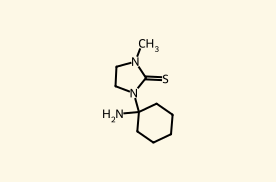 CN1CCN(C2(N)CCCCC2)C1=S